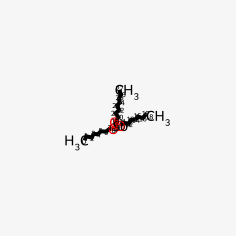 CCCCCCCC[O][Sb]([O]CCCCCCCC)[O]CCCCCCCC